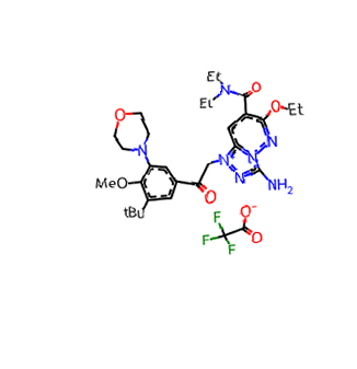 CCOc1nn2c(N)n[n+](CC(=O)c3cc(N4CCOCC4)c(OC)c(C(C)(C)C)c3)c2cc1C(=O)N(CC)CC.O=C([O-])C(F)(F)F